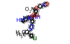 CC1(C)CCC(CN2CCN(c3ccc(C(=O)NS(=O)(=O)c4ccc(O[C@H]5CC[C@@H](N6CCOCC6)CC5)c([N+](=O)[O-])c4)c(-n4ncc5nc6[nH]ccc6cc54)c3)CC2)=C(c2ccc(Cl)cc2)C1